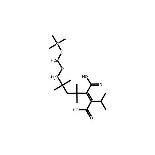 CC(C)C(C(=O)O)=C(C(=O)O)C(C)(C)CC(C)(C)[SiH2]O[SiH2]O[Si](C)(C)C